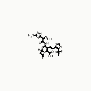 Nc1nc(C(=NO)C(=O)NC2S[C@H]3CC(=O)N3C(C(=O)O)=C2C=Cc2scnc2C(F)(F)F)ns1